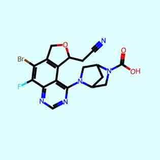 N#CCC1OCc2c(Br)c(F)c3ncnc(N4CC5CC4CN5C(=O)O)c3c21